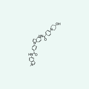 Cn1ccc2cc(NC(=O)c3ccc(-n4ccc5cc(NC(=O)c6ccc(N7CCC(O)CC7)cc6)ccc54)cc3)ccc21